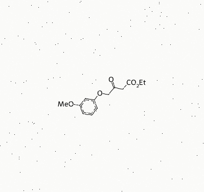 CCOC(=O)CC(=O)COc1cccc(OC)c1